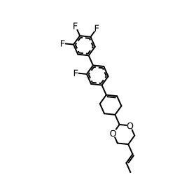 C/C=C/C1COC(C2CC=C(c3ccc(-c4cc(F)c(F)c(F)c4)c(F)c3)CC2)OC1